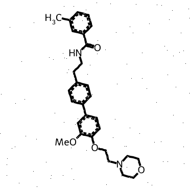 COc1cc(-c2ccc(CCNC(=O)c3cccc(C)c3)cc2)ccc1OCCN1CCOCC1